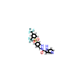 O=C(NCc1ccc(S(=O)(=O)c2ccc(C(F)(F)F)cc2C(F)(F)F)cc1)c1cc2cnccc2[nH]1